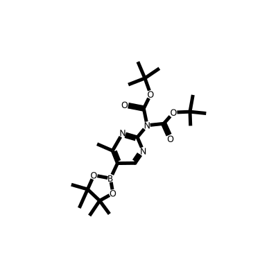 Cc1nc(N(C(=O)OC(C)(C)C)C(=O)OC(C)(C)C)ncc1B1OC(C)(C)C(C)(C)O1